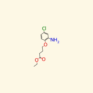 CCOC(=O)CCCOc1ccc(Cl)cc1N